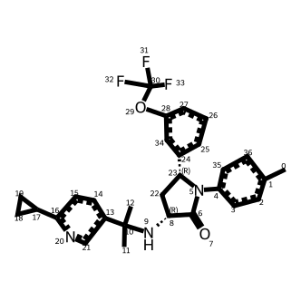 Cc1ccc(N2C(=O)[C@H](NC(C)(C)c3ccc(C4CC4)nc3)C[C@@H]2c2cccc(OC(F)(F)F)c2)cc1